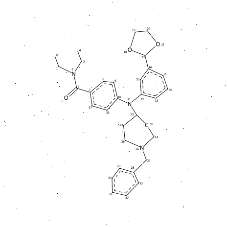 CCN(CC)C(=O)c1ccc(N(c2cccc(C3OCCO3)c2)C2CCN(Cc3ccccc3)CC2)cc1